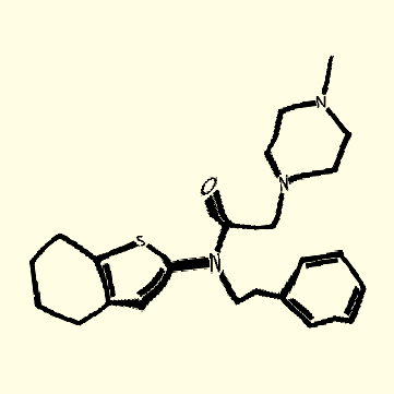 CN1CCN(CC(=O)N(Cc2ccccc2)c2cc3c(s2)CCCC3)CC1